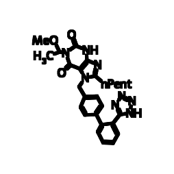 CCCCCc1nc2[nH]c(=O)n(C(C)OC)c(=O)c2n1Cc1ccc(-c2ccccc2-c2nnn[nH]2)cc1